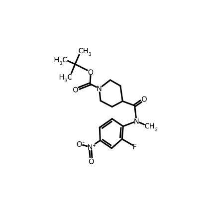 CN(C(=O)C1CCN(C(=O)OC(C)(C)C)CC1)c1ccc([N+](=O)[O-])cc1F